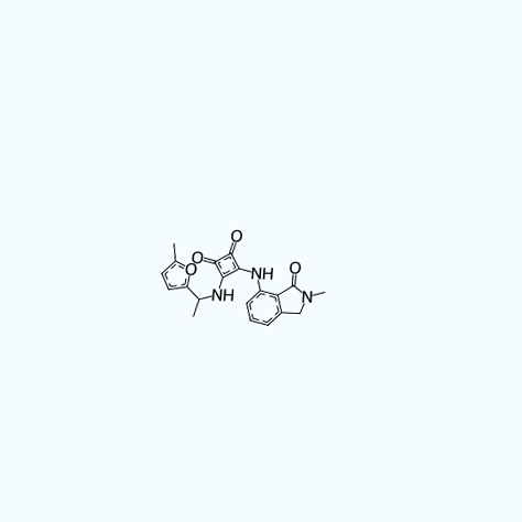 Cc1ccc(C(C)Nc2c(Nc3cccc4c3C(=O)N(C)C4)c(=O)c2=O)o1